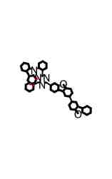 c1ccc(-c2nc(-c3ccc4c(c3)oc3ccc(-c5ccc6oc7ccccc7c6c5)cc34)nc(-c3ccccc3-n3c4ccccc4c4ccccc43)n2)cc1